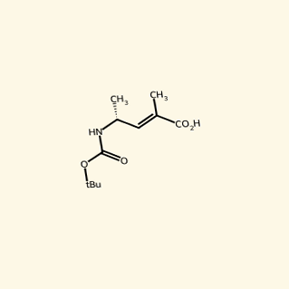 CC(=C[C@@H](C)NC(=O)OC(C)(C)C)C(=O)O